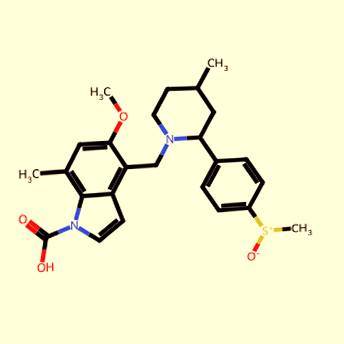 COc1cc(C)c2c(ccn2C(=O)O)c1CN1CCC(C)CC1c1ccc([S+](C)[O-])cc1